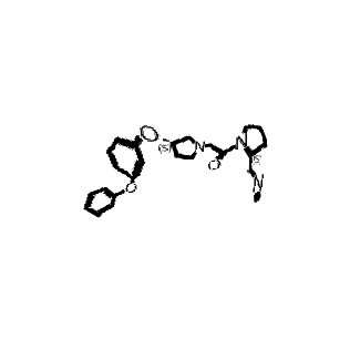 C=NC[C@@H]1CCCN1C(=O)CN1CC[C@H](Oc2cccc(Oc3ccccc3)c2)C1